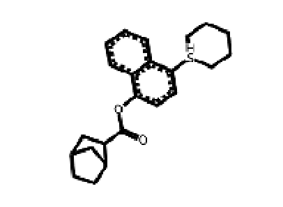 O=C(Oc1ccc([SH]2CCCCC2)c2ccccc12)C1CC2CCC1C2